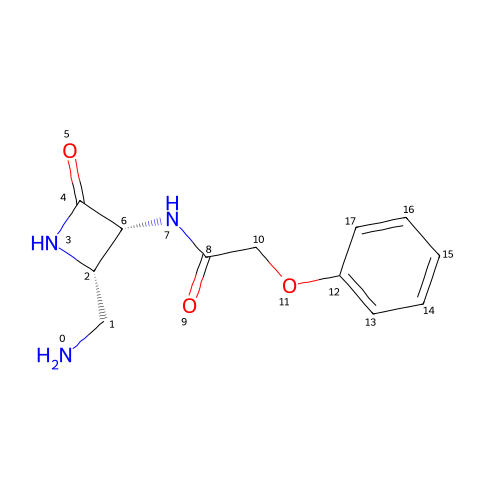 NC[C@@H]1NC(=O)[C@@H]1NC(=O)COc1ccccc1